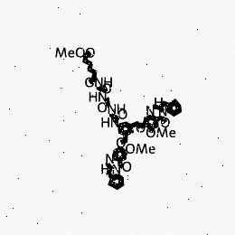 COC(=O)CCCCC(=O)NCC(=O)NCC(=O)NCC(=O)Nc1cc(COc2cc3c(cc2OC)C(=O)N2c4ccccc4C[C@H]2C=N3)cc(COc2cc3c(cc2OC)C(=O)N2c4ccccc4C[C@H]2C=N3)c1